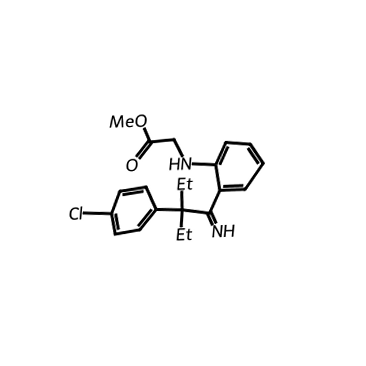 CCC(CC)(C(=N)c1ccccc1NCC(=O)OC)c1ccc(Cl)cc1